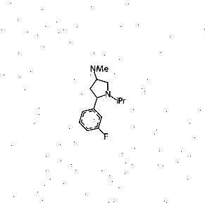 CNC1CC(c2cccc(F)c2)N(C(C)C)C1